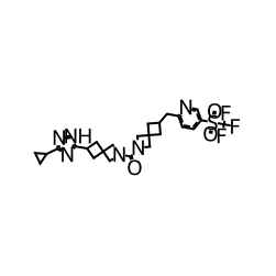 O=C(N1CC2(CC(Cc3ccc(S(=O)(=O)C(F)(F)F)cn3)C2)C1)N1CC2(CC(c3nc(C4CC4)n[nH]3)C2)C1